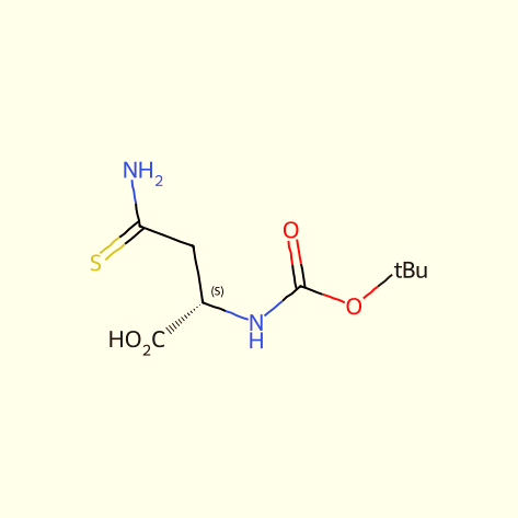 CC(C)(C)OC(=O)N[C@@H](CC(N)=S)C(=O)O